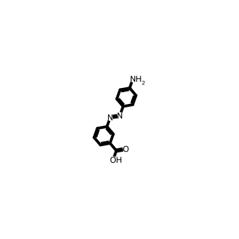 Nc1ccc(N=Nc2cccc(C(=O)O)c2)cc1